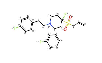 C=CCS(=O)(=O)C1(F)CCN(CCc2ccc(F)cc2)CC1.Fc1ccccc1